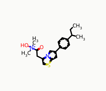 CCC(C)c1ccc(-c2cc3scc(CC(=O)[N+](C)(C)O)n3c2)cc1